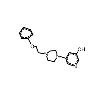 Oc1cncc(N2CCN(CCOc3ccccc3)CC2)c1